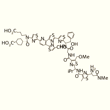 CNC(=O)C[C@H](N)c1nc(C(=O)NC(c2nc(C(=O)NCC(=O)N[C@H](c3nc(-c4nc(-c5nc(-c6nc(N(CCCCC(=O)O)C(=O)[C@H]7CC[C@H](C(=O)O)CC7)cs6)ccc5-c5nc(C=O)cs5)cs4)cs3)[C@@H](O)c3ccccc3)c(COC)s2)C(C)C)c(C)s1